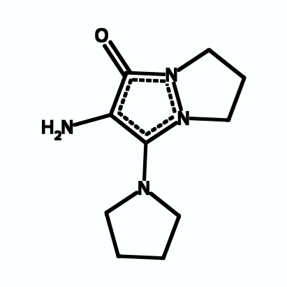 Nc1c(N2CCCC2)n2n(c1=O)CCC2